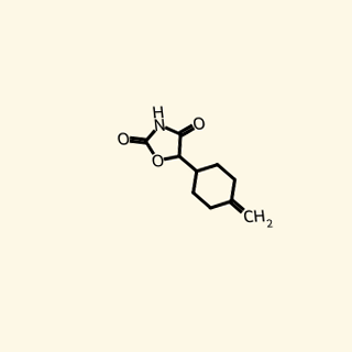 C=C1CCC(C2OC(=O)NC2=O)CC1